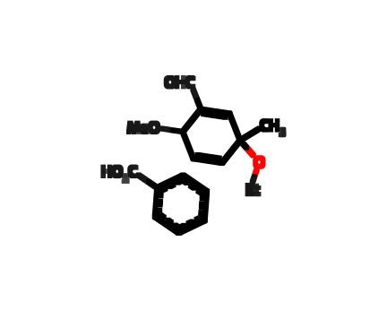 CCOC1(C)C=CC(OC)C(C=O)=C1.O=C(O)c1ccccc1